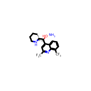 N.O[C@@H](c1cc(C(F)(F)F)nc2c(C(F)(F)F)cccc12)[C@H]1CCCCN1